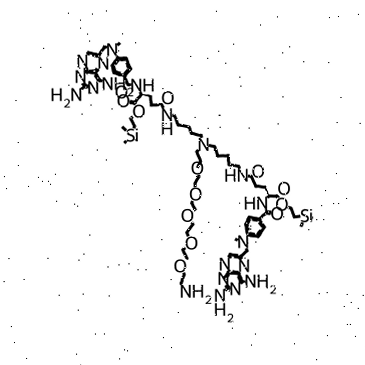 CN(Cc1cnc2nc(N)nc(N)c2n1)c1ccc(C(=O)N[C@@H](CCC(=O)NCCCCCN(CCCCCNC(=O)CC[C@H](NC(=O)c2ccc(N(C)Cc3cnc4nc(N)nc(N)c4n3)cc2)C(=O)OCC[Si](C)(C)C)CCOCCOCCOCCOCCOCCN)C(=O)OCC[Si](C)(C)C)cc1